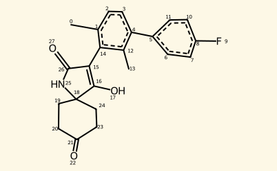 Cc1ccc(-c2ccc(F)cc2)c(C)c1C1=C(O)C2(CCC(=O)CC2)NC1=O